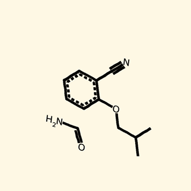 CC(C)COc1ccccc1C#N.NC=O